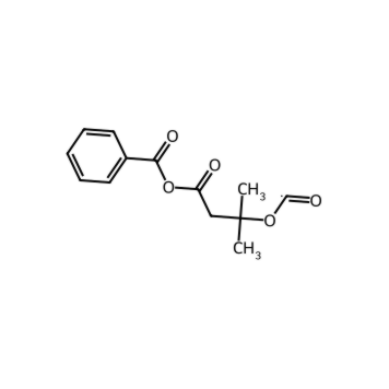 CC(C)(CC(=O)OC(=O)c1ccccc1)O[C]=O